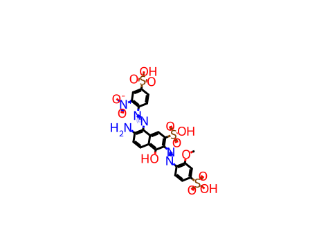 COc1cc(S(=O)(=O)O)ccc1N=Nc1c(S(=O)(=O)O)cc2c(/N=N/c3ccc(S(=O)(=O)O)cc3[N+](=O)[O-])c(N)ccc2c1O